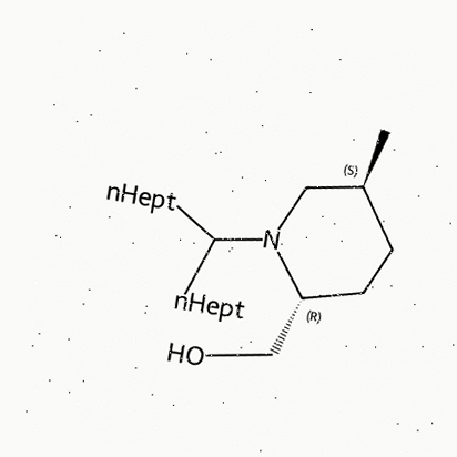 CCCCCCCC(CCCCCCC)N1C[C@@H](C)CC[C@@H]1CO